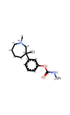 CCCNC(=O)Oc1cccc(C2(CC)CCCCN(C)C2)c1